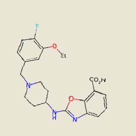 CCOc1cc(CN2CCC(Nc3nc4cccc(C(=O)O)c4o3)CC2)ccc1F